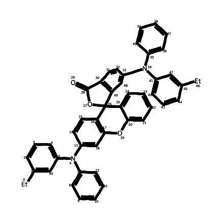 CCc1cccc(N(c2ccccc2)c2ccc3c(c2)Oc2ccccc2C32OC(=O)c3ccc(N(c4ccccc4)c4cccc(CC)c4)cc32)c1